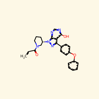 C=CC(=O)N1CCC[C@@H](n2nc(-c3ccc(Oc4ccccc4)cc3)c3c(O)ncnc32)C1